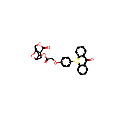 O=C(COc1ccc(-[s+]2c3ccccc3c(=O)c3ccccc32)cc1)OC1C2CC3C(=O)OC1C3O2